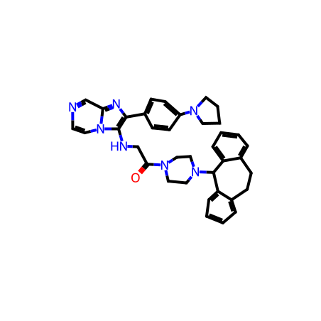 O=C(CNc1c(-c2ccc(N3CCCC3)cc2)nc2cnccn12)N1CCN(C2c3ccccc3CCc3ccccc32)CC1